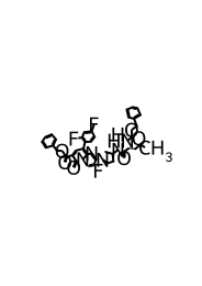 CCC[C@H](NC(=O)OCc1ccccc1)C(=O)NC1CCN(c2nc3c(-c4ccc(F)cc4F)cc(C(=O)OCc4ccccc4)c(=O)n3cc2F)C1